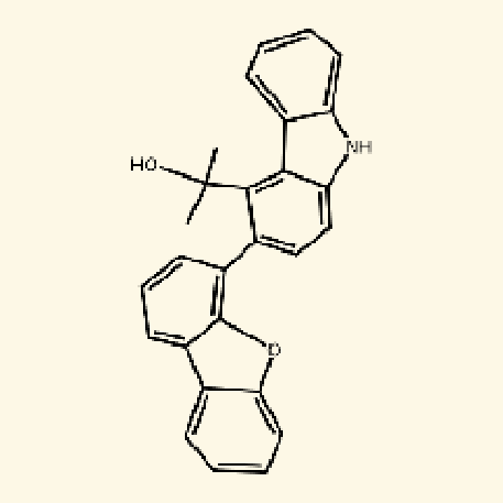 CC(C)(O)c1c(-c2cccc3c2oc2ccccc23)ccc2[nH]c3ccccc3c12